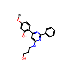 CCOc1ccc(-c2cc(NCCCO)nc(-c3ccccc3)n2)c(O)c1